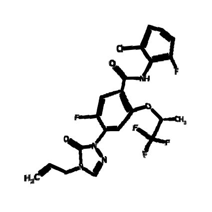 C=CCn1cnn(-c2cc(O[C@@H](C)C(F)(F)F)c(C(=O)Nc3c(F)cccc3Cl)cc2F)c1=O